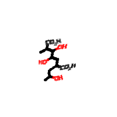 CC(O)CC(CC(O)C(O)C(C)C(=O)O)C(=O)O